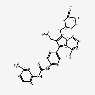 COCc1c(-c2ccc(NC(=O)Nc3cc(C(F)(F)F)ccc3F)cc2)c2c(N)nncn2c1CN1CCNC(=O)C1